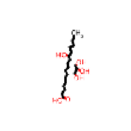 CCCCCCC(O)CCCCCCCCCCC(=O)O.OCC(O)CO